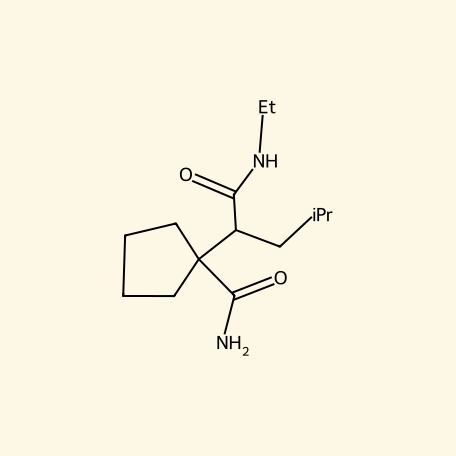 CCNC(=O)C(CC(C)C)C1(C(N)=O)CCCC1